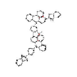 CC1(C)c2cc(N(C3=CC=C(C4=NC5C=CC=CC5S4)CC3)c3ccccc3-c3ccccc3)ccc2-c2ccc(N(c3ccc(-c4nc5ccccc5s4)cc3)c3ccccc3-c3ccccc3)cc21